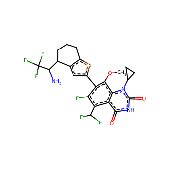 COc1c(-c2cc3c(s2)CCCC3C(N)C(F)(F)F)c(F)c(C(F)F)c2c(=O)[nH]c(=O)n(C3CC3)c12